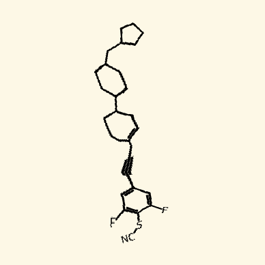 N#CSc1c(F)cc(C#CC2=CCC(C3CCC(CC4CCCC4)CC3)CC2)cc1F